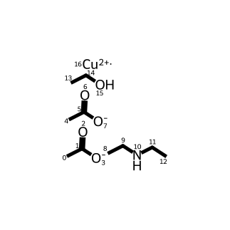 CC(=O)[O-].CC(=O)[O-].CCNCC.CCO.[Cu+2]